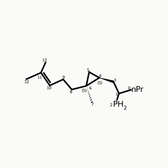 CCCC(P)C[C@@H]1C[C@]1(C)CCC=C(C)C